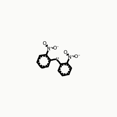 O=[N+]([O-])c1ccccc1[I+]c1ccccc1[N+](=O)[O-]